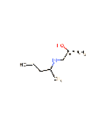 [CH]=CCC(C)NC[C@@H](C)O